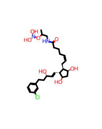 CC(CNC(=O)CCC/C=C\C[C@@H]1[C@@H](/C=C/[C@@H](O)CCc2cccc(Cl)c2)[C@H](O)C[C@@H]1O)ON(O)O